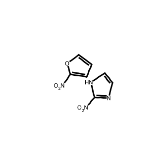 O=[N+]([O-])c1ccco1.O=[N+]([O-])c1ncc[nH]1